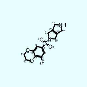 O=S(=O)(c1cc(F)c2c(c1)OCCO2)N1CC2=C(CNC2)C1